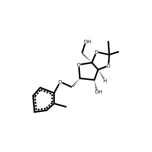 Cc1ccccc1OC[C@@H]1O[C@@]2(CO)OC(C)(C)O[C@H]2[C@@H]1O